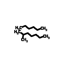 CCCCCC.CCCCCC(C)C